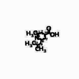 Cc1cc(C(=O)O)cc(CC(C)C)n1